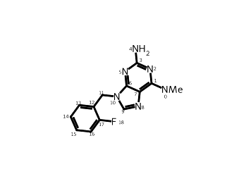 CNc1nc(N)nc2c1ncn2Cc1ccccc1F